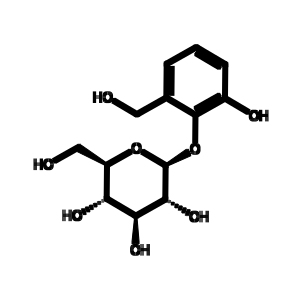 OCc1cccc(O)c1O[C@@H]1O[C@H](CO)[C@@H](O)[C@H](O)[C@H]1O